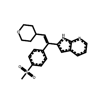 CS(=O)(=O)c1ccc(C(=CC2CCOCC2)c2cc3cccnc3[nH]2)cc1